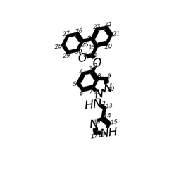 O=C(Oc1cccc2c1cnn2NCc1c[nH]cn1)c1ccccc1C1=CCCCC1